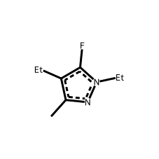 CCc1c(C)nn(CC)c1F